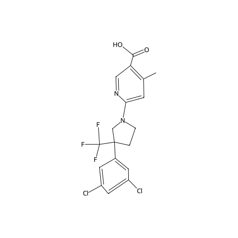 Cc1cc(N2CCC(c3cc(Cl)cc(Cl)c3)(C(F)(F)F)C2)ncc1C(=O)O